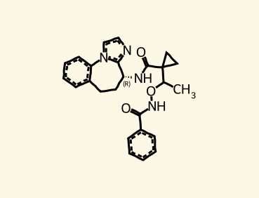 CC(ONC(=O)c1ccccc1)C1(C(=O)N[C@@H]2CCc3ccccc3-n3ccnc32)CC1